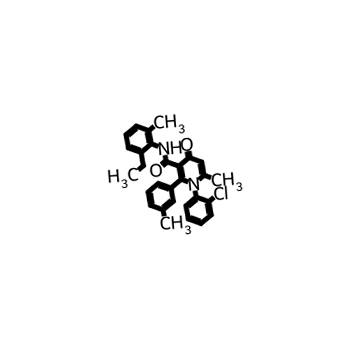 CCc1cccc(C)c1NC(=O)c1c(-c2cccc(C)c2)n(-c2ccccc2Cl)c(C)cc1=O